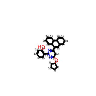 OC1=C(C2=NC(OC3CCCC3)CC(C3=CC4CCC=CC4C4C=CC=CC34)=N2)CCC=C1